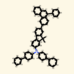 CC1(C)c2cc(-c3ccc4c(-c5ccccc5)cc5ccccc5c4c3)ccc2-c2ccc(N(c3ccc(-c4ccccc4)cc3)c3ccc(-c4ccccc4)cc3)cc21